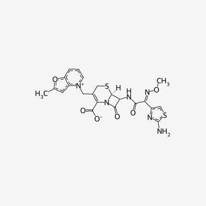 CON=C(C(=O)NC1C(=O)N2C(C(=O)[O-])=C(C[n+]3cccc4oc(C)cc43)CS[C@@H]12)c1csc(N)n1